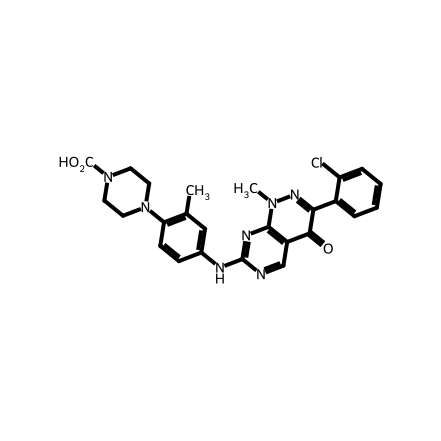 Cc1cc(Nc2ncc3c(=O)c(-c4ccccc4Cl)nn(C)c3n2)ccc1N1CCN(C(=O)O)CC1